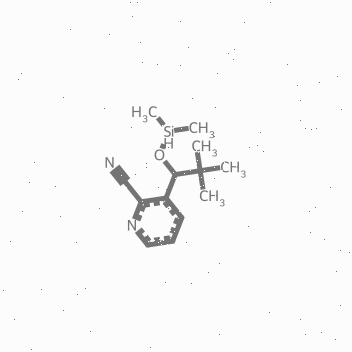 C[SiH](C)OC(c1cccnc1C#N)C(C)(C)C